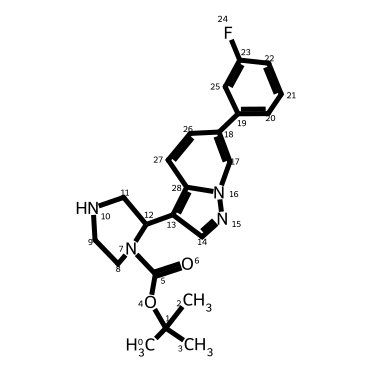 CC(C)(C)OC(=O)N1CCNCC1c1cnn2cc(-c3cccc(F)c3)ccc12